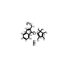 CC1=C(C)C(C)(C)[C]([Zr+2][CH]2C(CC(C)C)=Cc3ccccc32)=C1C.[F-].[F-]